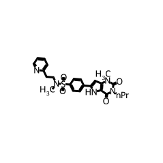 CCCn1c(=O)c2[nH]c(-c3ccc(S(=O)(=O)N(C)CCc4ccccn4)cc3)cc2n(C)c1=O